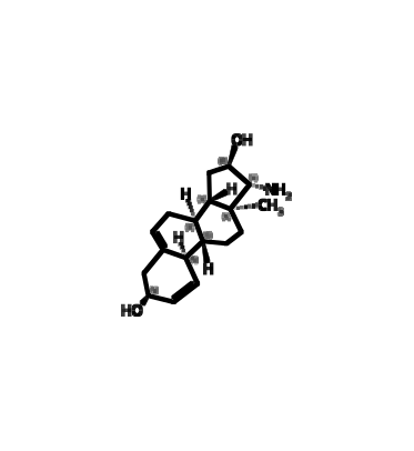 C[C@]12CC[C@H]3[C@@H](CC=C4C[C@H](O)C=C[C@@H]43)[C@@H]1C[C@@H](O)[C@@H]2N